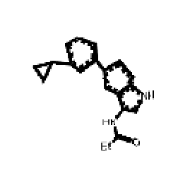 CCC(=O)Nc1c[nH]c2ccc(-c3cccc(C4CC4)c3)cc12